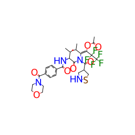 CC(=O)O/C(=C(\C(C)C)N(C(=O)C1CNSC1)C(=O)[C@@H](NC(=O)c1ccc(C(=O)N2CCOCC2)cc1)C(C)C)C(F)(F)C(F)(F)F